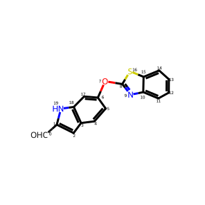 O=Cc1cc2ccc(Oc3nc4ccccc4s3)cc2[nH]1